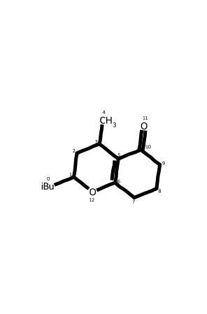 CCC(C)C1CC(C)C2=C(CCCC2=O)O1